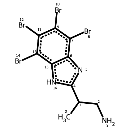 CC(CN)c1nc2c(Br)c(Br)c(Br)c(Br)c2[nH]1